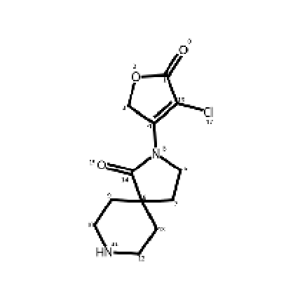 O=C1OCC(N2CCC3(CCNCC3)C2=O)=C1Cl